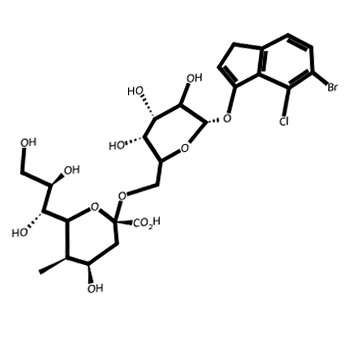 C[C@H]1C([C@H](O)[C@H](O)CO)O[C@@](OCC2O[C@@H](OC3=CCc4ccc(Br)c(Cl)c43)C(O)[C@@H](O)[C@H]2O)(C(=O)O)C[C@H]1O